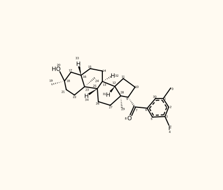 Cc1cc(F)cc(C(=O)[C@H]2CC[C@H]3[C@@H]4CC[C@H]5C[C@](C)(O)CC[C@]5(C)[C@H]4CC[C@]23C)c1